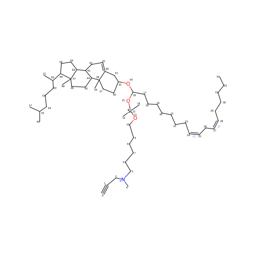 C#CCN(C)CCCCCCO[Si](C)(C)OC(CCCCCCC/C=C\C/C=C\CCCCC)OC1CCC2(C)C(=CCC3C2CCC2(C)C(C(C)CCCC(C)C)CCC32)C1